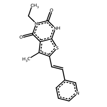 CCn1c(=O)[nH]c2sc(C=Cc3cccnc3)c(C)c2c1=O